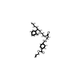 C=CCOC(=O)c1ccc(CSC2CC(=O)N2CCOCC(CCCC)c2ccccc2F)cc1